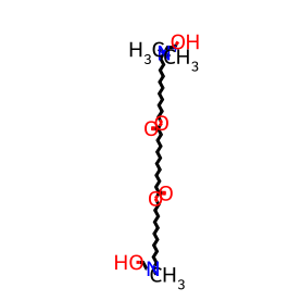 CN(CCO)CCCCCCCCCCCOC(=O)CCCCCCCCCCC(=O)OCCCCCCCCCCC[N+](C)(C)CCO